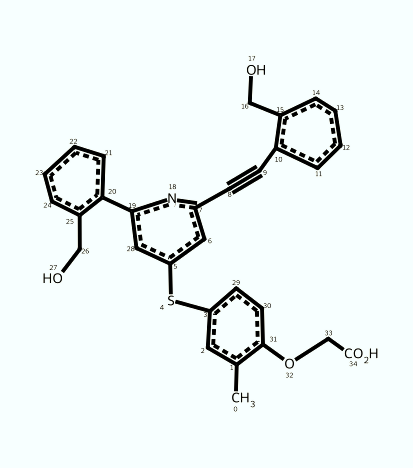 Cc1cc(Sc2cc(C#Cc3ccccc3CO)nc(-c3ccccc3CO)c2)ccc1OCC(=O)O